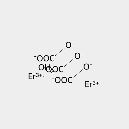 O.O=C([O-])[O-].O=C([O-])[O-].O=C([O-])[O-].[Er+3].[Er+3]